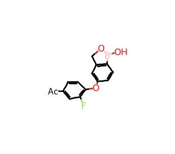 CC(=O)c1ccc(Oc2ccc3c(c2)COB3O)c(F)c1